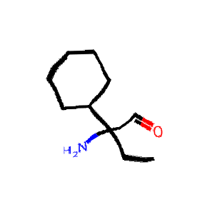 CCC(N)(C=O)C1CCCCC1